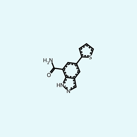 NC(=O)c1cc(-c2cccs2)cc2cn[nH]c12